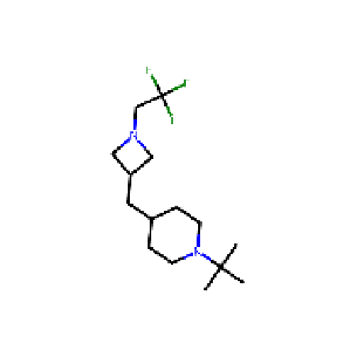 CC(C)(C)N1CCC(CC2CN(CC(F)(F)F)C2)CC1